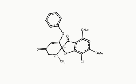 COc1cc(OC)c2c(c1Cl)O[C@]1(C2=O)C(Oc2ccccc2)=CC(=O)C[C@H]1C